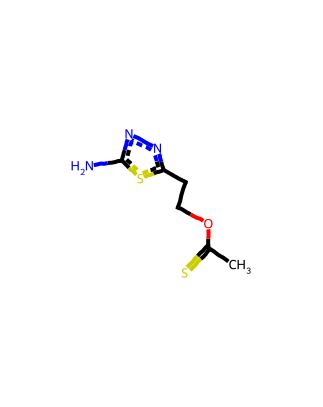 CC(=S)OCCc1nnc(N)s1